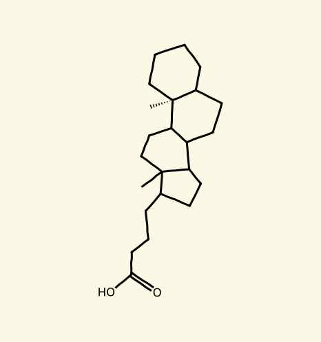 CC12CCC3C(CCC4CCCC[C@@]43C)C1CCC2CCCC(=O)O